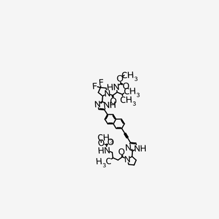 COC(=O)NCC(C)CC(=O)N1CCCC1c1nc(C#Cc2ccc3cc(-c4cnc(C5CC(F)(F)CN5C(=O)C(NC(=O)OC)C(C)C)[nH]4)ccc3c2)c[nH]1